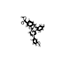 COC(=O)c1ccc(CN(C(=O)N2CCN(c3cccc(OC)c3)CC2)c2cccc(C)c2)cc1